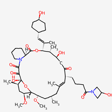 CO[C@H]1C[C@@H](C)C/C(C)=C/[C@@H](CCCC(=O)N2CC(O)C2)C(=O)C[C@H](O)[C@@H](C)[C@@H](/C(C)=C/[C@H]2CC[C@H](O)CC2)OC(=O)[C@@H]2CCCCN2C(=O)C(=O)[C@]2(O)O[C@H]1[C@@H](OC)C[C@H]2C